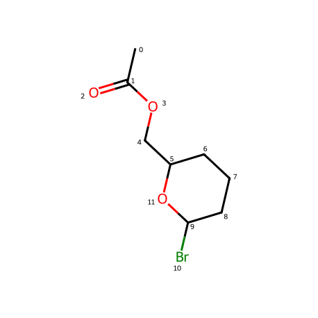 CC(=O)OCC1CCCC(Br)O1